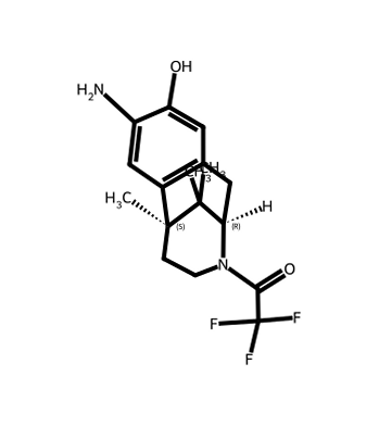 CC1(C)[C@H]2Cc3cc(O)c(N)cc3[C@]1(C)CCN2C(=O)C(F)(F)F